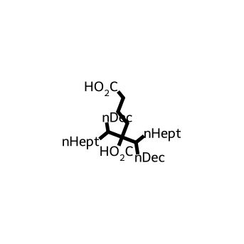 CCCCCCCCCCC(CCCCCCC)C(CCCC(=O)O)(C(=O)O)C(CCCCCCC)CCCCCCCCCC